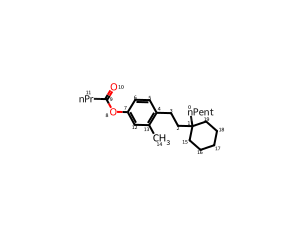 CCCCCC1(CCc2ccc(OC(=O)CCC)cc2C)CCCCC1